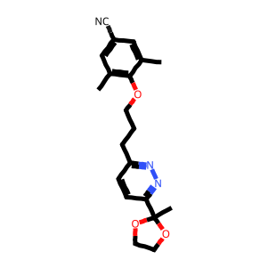 Cc1cc(C#N)cc(C)c1OCCCc1ccc(C2(C)OCCO2)nn1